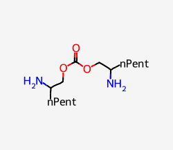 CCCCCC(N)COC(=O)OCC(N)CCCCC